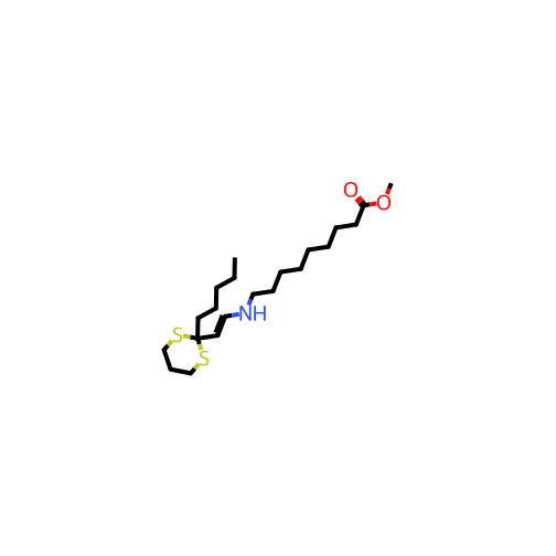 CCCCCC1(/C=C/NCCCCCCCCC(=O)OC)SCCCS1